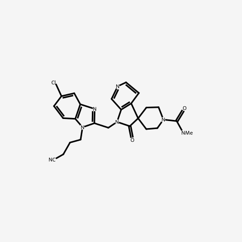 CNC(=O)N1CCC2(CC1)C(=O)N(Cc1nc3cc(Cl)ccc3n1CCCC#N)c1cnccc12